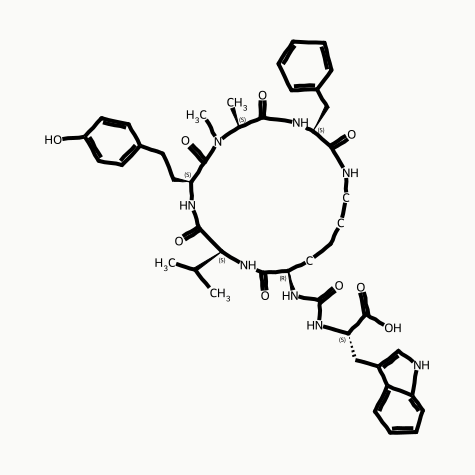 CC(C)[C@@H]1NC(=O)[C@H](NC(=O)N[C@@H](Cc2c[nH]c3ccccc23)C(=O)O)CCCCNC(=O)[C@H](Cc2ccccc2)NC(=O)[C@H](C)N(C)C(=O)[C@H](CCc2ccc(O)cc2)NC1=O